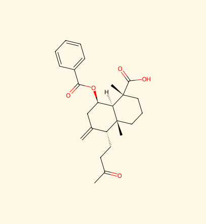 C=C1C[C@@H](OC(=O)c2ccccc2)[C@@H]2[C@](C)(CCC[C@@]2(C)C(=O)O)[C@@H]1CCC(C)=O